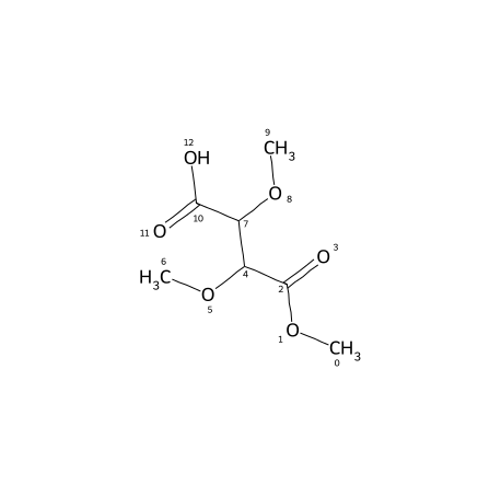 COC(=O)C(OC)C(OC)C(=O)O